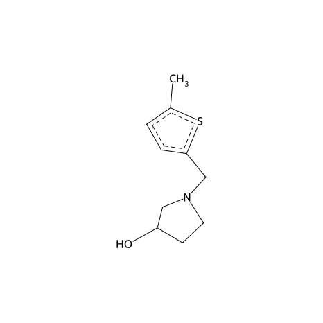 Cc1ccc(CN2CCC(O)C2)s1